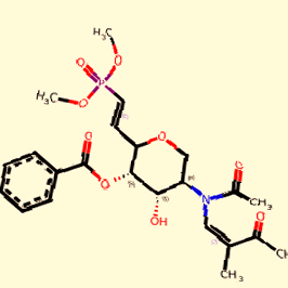 COP(=O)(/C=C/C1OC[C@@H](N(/C=C(/C)C(C)=O)C(C)=O)[C@H](O)[C@@H]1OC(=O)c1ccccc1)OC